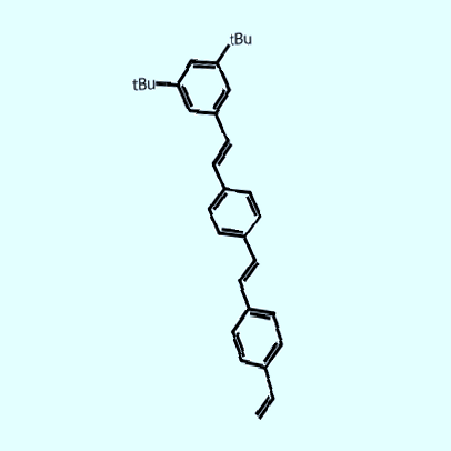 C=Cc1ccc(C=Cc2ccc(C=Cc3cc(C(C)(C)C)cc(C(C)(C)C)c3)cc2)cc1